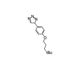 CC(C)(C)CCCOc1ccc(C2C=NN=N2)cc1